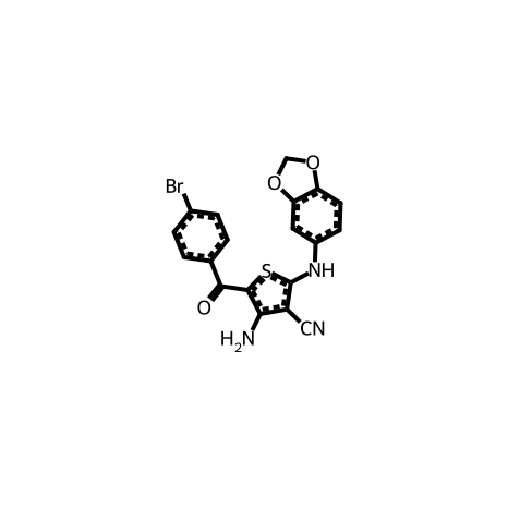 N#Cc1c(Nc2ccc3c(c2)OCO3)sc(C(=O)c2ccc(Br)cc2)c1N